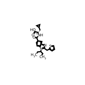 CCC(CC)n1c(Cc2cccs2)nc2cc(C(=O)N[C@@H](CC3CC3)C(=O)O)ccc21